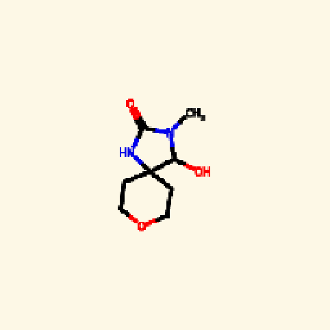 CN1C(=O)NC2(CCOCC2)C1O